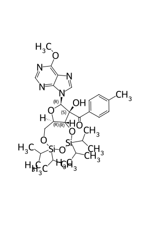 COc1ncnc2c1ncn2[C@@H]1O[C@@H]2CO[Si](C(C)C)(C(C)C)O[Si](C(C)C)(C(C)C)O[C@H]2[C@@]1(O)C(=O)c1ccc(C)cc1